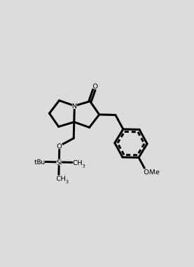 COc1ccc(CC2CC3(CO[Si](C)(C)C(C)(C)C)CCCN3C2=O)cc1